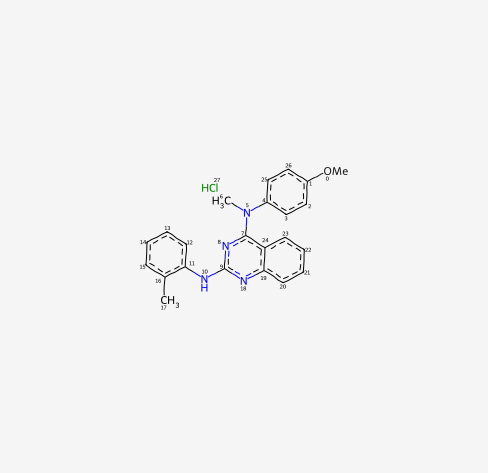 COc1ccc(N(C)c2nc(Nc3ccccc3C)nc3ccccc23)cc1.Cl